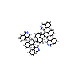 c1ccc2c(-c3c4c(c(-c5cncc6ccccc56)c5ccccc35)-c3ccc5c6c(ccc-4c36)-c3c-5c(-c4cncc5ccccc45)c4ccccc4c3-c3cncc4ccccc34)cncc2c1